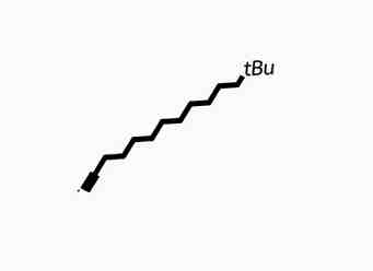 [C]#CCCCCCCCCCCC(C)(C)C